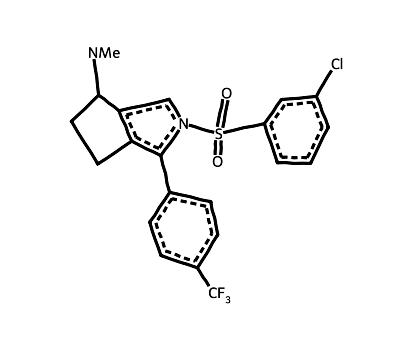 CNC1CCc2c1cn(S(=O)(=O)c1cccc(Cl)c1)c2-c1ccc(C(F)(F)F)cc1